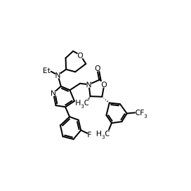 CCN(c1ncc(-c2cccc(F)c2)cc1CN1C(=O)O[C@H](c2cc(C)cc(C(F)(F)F)c2)[C@@H]1C)C1CCOCC1